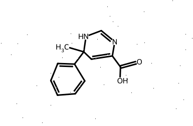 CC1(c2ccccc2)C=C(C(=O)O)N=CN1